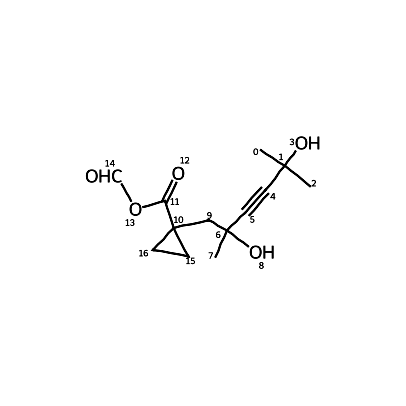 CC(C)(O)C#CC(C)(O)CC1(C(=O)OC=O)CC1